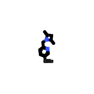 COc1ccc(CN2C(C)CC2C)nc1